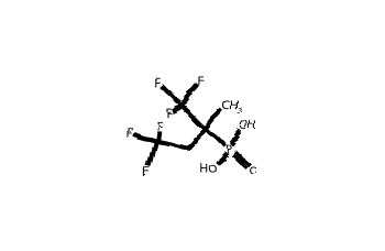 CC(CC(F)(F)F)(C(F)(F)F)P(=O)(O)O